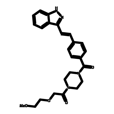 COCCOCC(=O)N1CCN(C(=O)c2ccc(/C=C/c3n[nH]c4ccccc34)cc2)CC1